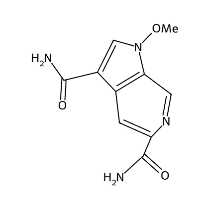 COn1cc(C(N)=O)c2cc(C(N)=O)ncc21